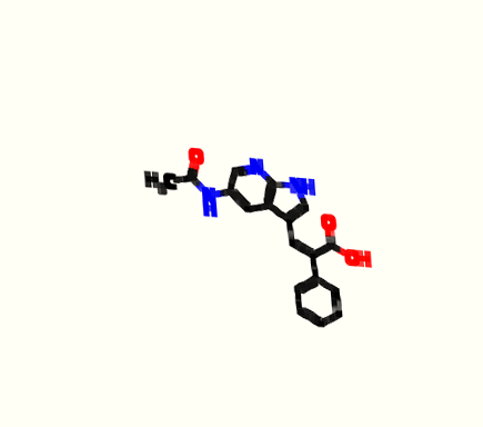 CC(=O)Nc1cnc2[nH]cc(C=C(C(=O)O)c3ccccc3)c2c1